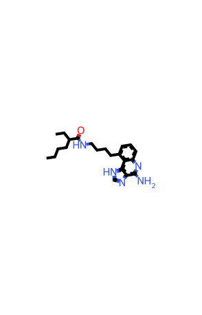 CCCCC(CC)C(=O)NCCCCc1cccc2nc(N)c3nc[nH]c3c12